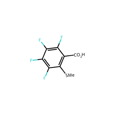 CSc1c(F)c(F)c(F)c(F)c1C(=O)O